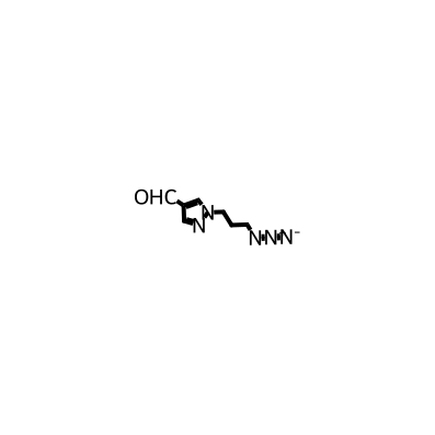 [N-]=[N+]=NCCCn1cc(C=O)cn1